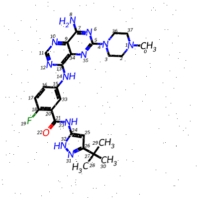 CN1CCN(c2nc(N)c3ncnc(Nc4ccc(F)c(C(=O)Nc5cc(C(C)(C)C)n[nH]5)c4)c3n2)CC1